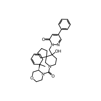 CC1([C@@H]2COCCN2C(=O)N2CCC(O)(Cn3ncc(-c4ccccc4)cc3=O)C3(CCCC3)C2)C=CC=CC1